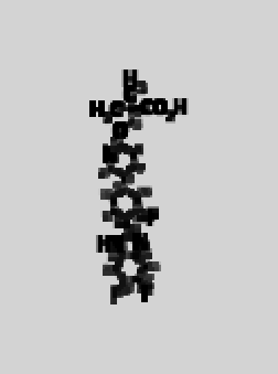 CC(C)(COc1ccc(-c2ccc(-c3nc4cc(F)c(F)cc4[nH]3)c(F)c2)cn1)C(=O)O